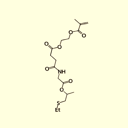 C=C(C)C(=O)OCCOC(=O)CCC(=O)NCC(=O)OC(C)CSCC